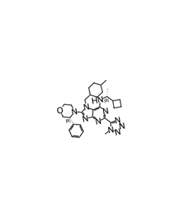 CC1CCC(Cn2c(N3CCOC[C@H]3c3ccccc3)nc3nc(-c4nnnn4C)nc(N[C@H](C)C4CCC4)c32)CC1